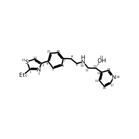 CCc1nc(-c2ccc(CCNC[C@H](O)c3cccnc3)cc2)cs1